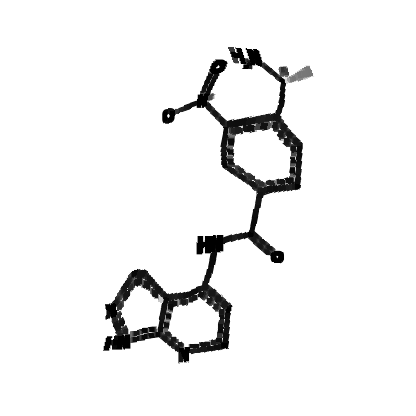 C[C@@H](N)c1ccc(C(=O)Nc2ccnc3[nH]ncc23)cc1[N+](=O)[O-]